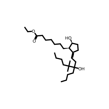 CCCCC(C)(C)C(O)(CC=C1CC[C@H](O)[C@@H]1CCCCCCC(=O)OCC)CCCC